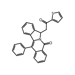 O=C(CC1c2ccccc2-c2c(-c3ccccc3)c3ccccc3c(=O)n21)c1cccs1